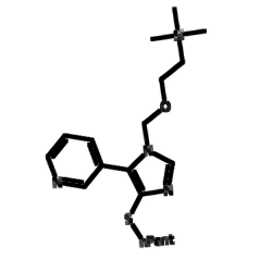 CCCCCSc1ncn(COCC[Si](C)(C)C)c1-c1cccnc1